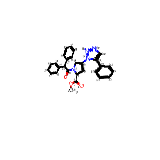 COC(=O)[C@@H]1C[C@H](n2nncc2-c2ccccc2)CN1C(=O)C(c1ccccc1)c1ccccc1